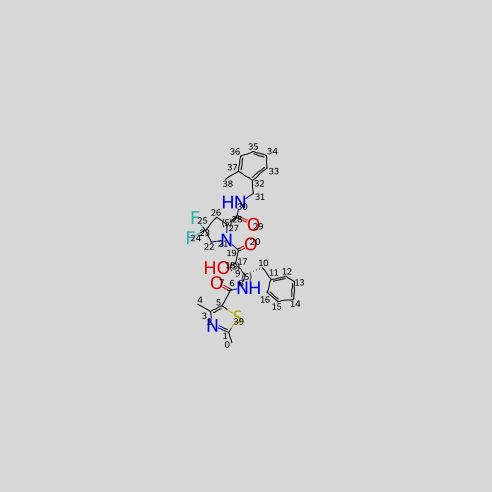 Cc1nc(C)c(C(=O)N[C@@H](Cc2ccccc2)[C@H](O)C(=O)N2CC(F)(F)C[C@H]2C(=O)NCc2ccccc2C)s1